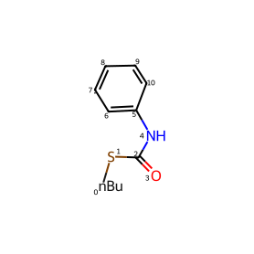 CCCCSC(=O)Nc1c[c]ccc1